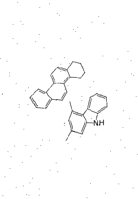 Cc1cc(C)c2c(c1)[nH]c1ccccc12.c1ccc2c(c1)ccc1c3c(ccc12)CCCC3